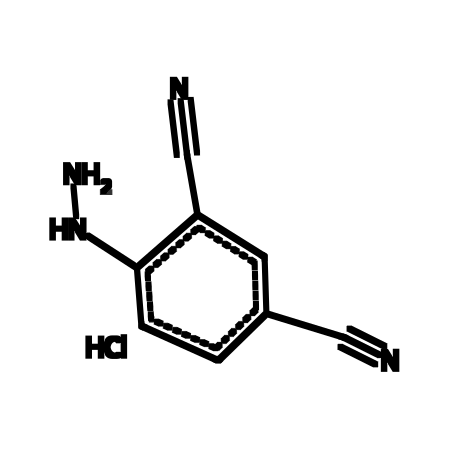 Cl.N#Cc1ccc(NN)c(C#N)c1